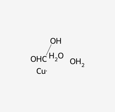 O.O.O=CO.[Cu]